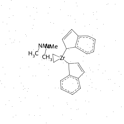 C1=C[CH]([Zr]2([CH]3C=Cc4ccccc43)[CH2][CH2]2)c2ccccc21.CNC.CNC